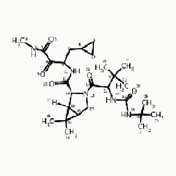 CNC(=O)C(=O)C(CC1CC1)NC(=O)[C@@H]1[C@@H]2C(CN1C(=O)C(NC(=O)NC(C)(C)C)C(C)(C)C)C2(C)C